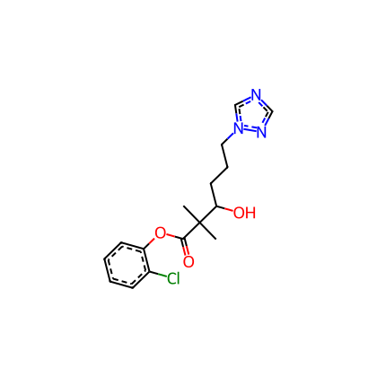 CC(C)(C(=O)Oc1ccccc1Cl)C(O)CCCn1cncn1